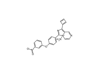 N[N+]12C=CN=CC1=C(C1=CC=C1)N=C2c1ccc(Oc2cccc([N+](=O)[O-])c2)cc1